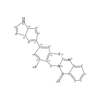 O=c1c2ccccc2ncn1Cc1c(F)cc(C2=CC3C=CNC3C=C2)cc1F